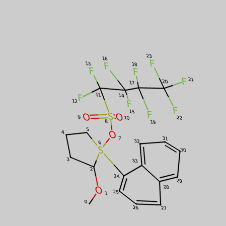 COC1CCCS1(OS(=O)(=O)C(F)(F)C(F)(F)C(F)(F)C(F)(F)F)c1cccc2ccccc12